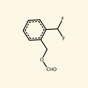 O=[C]OCc1ccccc1C(F)F